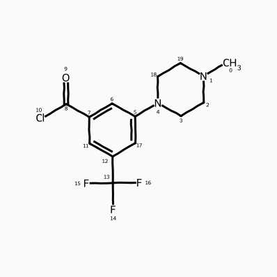 CN1CCN(c2cc(C(=O)Cl)cc(C(F)(F)F)c2)CC1